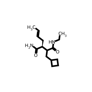 C/C=C/C[C@H](C(N)=O)C(CC1CCC1)C(=O)NCC